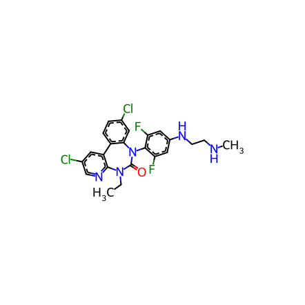 CCN1C(=O)N(c2c(F)cc(NCCNC)cc2F)c2cc(Cl)ccc2-c2cc(Cl)cnc21